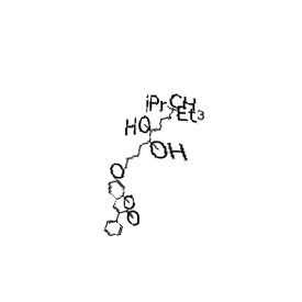 CCC(C)(CCCC(O)C(O)CCCCOC1=CC2OC(=O)C(c3ccccc3)=CC2C=C1)C(C)C